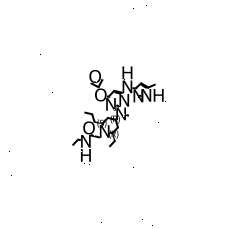 CCC[C@H]1C[C@H](N(C)c2nc(Nc3cc(C)[nH]n3)cc(OC3COC3)n2)C[C@@H](CC)N1CC(=O)NCC